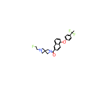 CC(F)(F)c1ccc(Oc2cccc3cc(C(=O)N4CC5(CN(CCF)C5)C4)ccc23)cc1